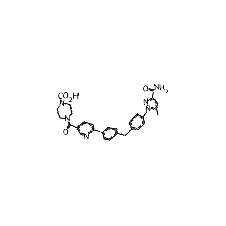 Cc1cc(C(N)=O)nn1-c1ccc(Cc2ccc(-c3ccc(C(=O)N4CCN(C(=O)O)CC4)cn3)cc2)cc1